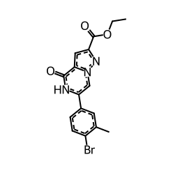 CCOC(=O)c1cc2c(=O)[nH]c(-c3ccc(Br)c(C)c3)cn2n1